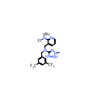 CCCCN(CC)c1ncccc1CN(Cc1cc(C(F)(F)F)cc(C(F)(F)F)c1)C1=NN(C)NN1